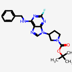 CC(C)(C)OC(=O)N1CCC(n2cnc3c(NCc4ccccc4)nc(F)nc32)C1